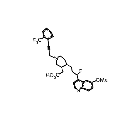 COc1ccc2nccc([C@H](F)CC[C@@H]3CCN(CC#Cc4ccccc4C(F)(F)F)C[C@@H]3CC(=O)O)c2c1